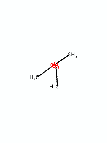 CCCCCCCCC=CCCCCCCCCOC(COC(=O)CCCCCCCCCCCCCCCCCCCCC)COC(=O)CCCCCCCCCCCCCCCCCCCCC